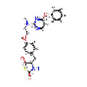 CN(CCOc1ccc(CC2NC(=O)SC2=O)cc1)c1nccc(Oc2ccccc2)n1